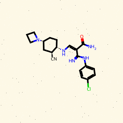 N#C[C@H]1C[C@H](N2CCC2)CC[C@@H]1N/C=C(\C(=N)Nc1ccc(Cl)cc1)C(N)=O